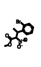 COC(=O)C(C(C)c1ccccc1Br)[N+](=O)[O-]